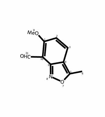 COc1ccc2c(C)onc2c1C=O